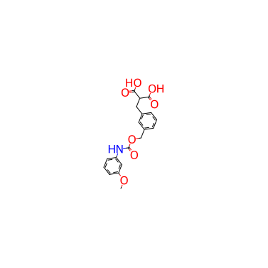 COc1cccc(NC(=O)OCc2cccc(CC(C(=O)O)C(=O)O)c2)c1